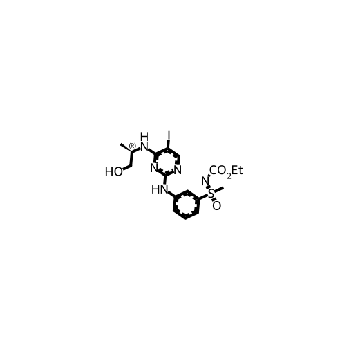 CCOC(=O)N=S(C)(=O)c1cccc(Nc2ncc(I)c(N[C@H](C)CO)n2)c1